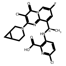 C[C@@H](Nc1ccc(Cl)nc1C(=O)O)c1cc(F)cn2c(=O)c(Cl)c(N3CCC4CC4C3)nc12